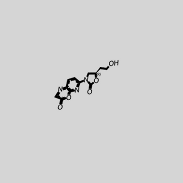 O=C1O[C@H](CCO)CN1c1ccc2ncc(=O)oc2n1